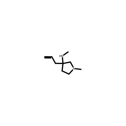 C=CCC1(NC)CCN(C)C1